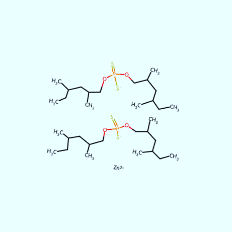 CCC(C)CC(C)COP(=S)([S-])OCC(C)CC(C)CC.CCC(C)CC(C)COP(=S)([S-])OCC(C)CC(C)CC.[Zn+2]